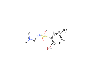 CN(C)/C=N/S(=O)(=O)c1cc([N+](=O)[O-])ccc1Br